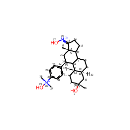 C[C@@]1(O)CC[C@@H]2C3C(CC[C@H]2C1)C1CC/C(=N/O)[C@@]1(C)C[C@@H]3c1ccc([N+](C)(C)O)cc1